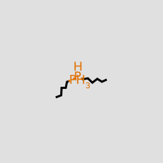 CCCCCCP[PH3]CCCCC